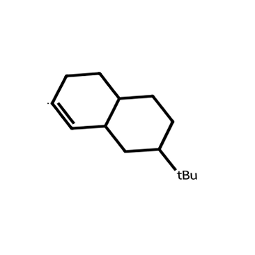 CC(C)(C)C1CCC2CC[C]=CC2C1